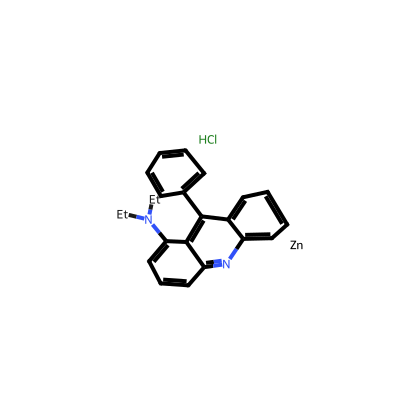 CCN(CC)c1cccc2nc3ccccc3c(-c3ccccc3)c12.Cl.[Zn]